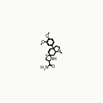 COc1ccc(C23C=CC4(CC2N(C)CC3)NC(C(N)=O)CS4)cc1OC